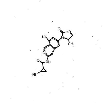 CC1COC(=O)N1c1cc(Cl)c2cnc(NC(=O)C3CC3C#N)cc2c1